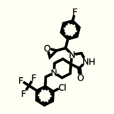 O=C1NCN(C(c2ccc(F)cc2)C2CO2)C12CCN(Cc1c(Cl)cccc1C(F)(F)F)CC2